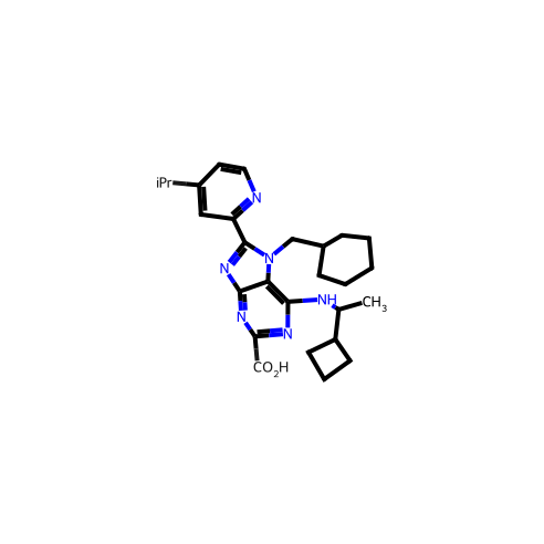 CC(C)c1ccnc(-c2nc3nc(C(=O)O)nc(NC(C)C4CCC4)c3n2CC2CCCCC2)c1